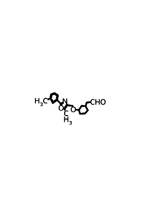 Cc1cccc(-c2nc(COC3CCCC(CC=O)C3)c(C)o2)c1